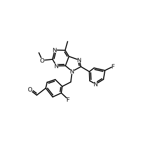 COc1nc(C)c2nc(-c3cncc(F)c3)n(Cc3ccc(C=O)cc3F)c2n1